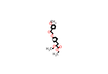 CCOC(=O)C(Cc1ccc(OCC(=O)c2cccc(OC)c2)cc1)OCC